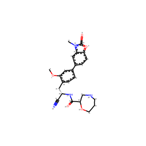 COc1cc(-c2ccc3oc(=O)n(C)c3c2)ccc1C[C@@H](C#N)NC(=O)C1CNCCCO1